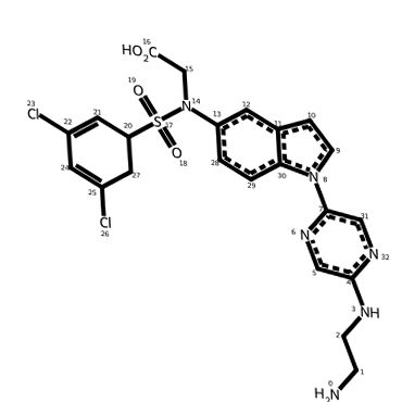 NCCNc1cnc(-n2ccc3cc(N(CC(=O)O)S(=O)(=O)C4C=C(Cl)C=C(Cl)C4)ccc32)cn1